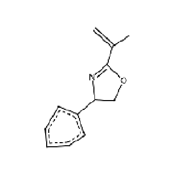 C=C(C)C1=NC(c2ccccc2)CO1